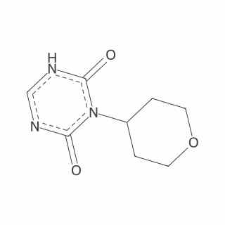 O=c1nc[nH]c(=O)n1C1CCOCC1